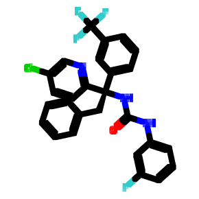 O=C(Nc1cccc(F)c1)N[C@@](Cc1ccccc1)(c1cccc(C(F)(F)F)c1)c1ccc(Cl)cn1